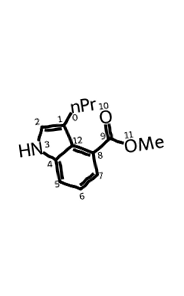 CCCc1c[nH]c2cccc(C(=O)OC)c12